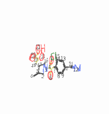 C=C1CN(S(=O)(=O)c2ccc(C#N)cc2Cl)C[C@H]1CS(=O)(=O)O